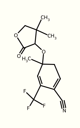 CC1(OC2C(=O)OCC2(C)C)C=C(C(F)(F)F)C(C#N)=CC1